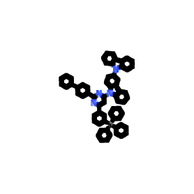 c1ccc(-c2ccc(-c3nc(-c4cccc([Si](c5ccccc5)(c5ccccc5)c5ccccc5)c4)cc(-n4c5ccccc5c5cc(-n6c7ccccc7c7ccccc76)ccc54)n3)cc2)cc1